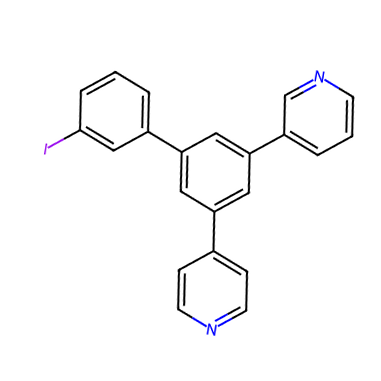 Ic1cccc(-c2cc(-c3ccncc3)cc(-c3cccnc3)c2)c1